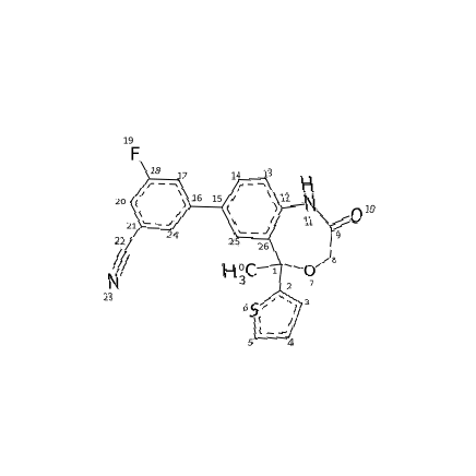 CC1(c2cccs2)OCC(=O)Nc2ccc(-c3cc(F)cc(C#N)c3)cc21